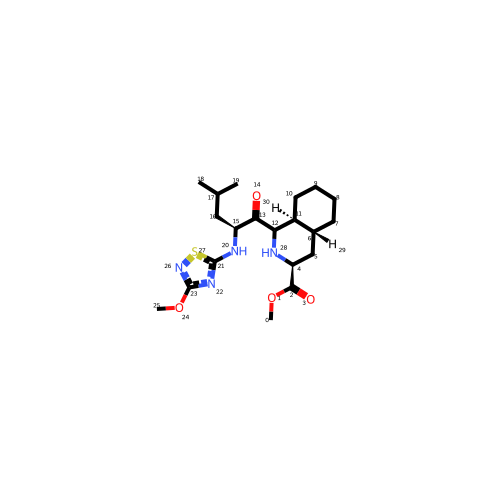 COC(=O)[C@@H]1C[C@H]2CCCC[C@@H]2C(C(=O)[C@H](CC(C)C)Nc2nc(OC)ns2)N1